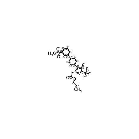 CSCOC(=O)Cn1nc(C(F)(F)F)c(Cl)c1-c1ccc(-c2cccc(S(C)(=O)=O)c2)cc1